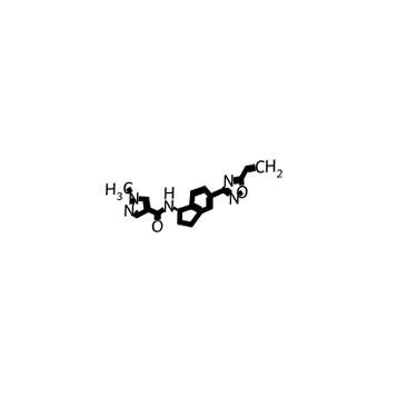 C=Cc1nc(-c2ccc3c(c2)CC[C@H]3NC(=O)c2cnn(C)c2)no1